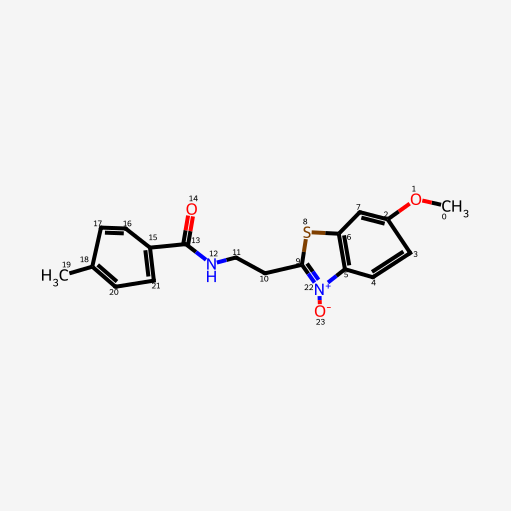 COc1ccc2c(c1)sc(CCNC(=O)c1ccc(C)cc1)[n+]2[O-]